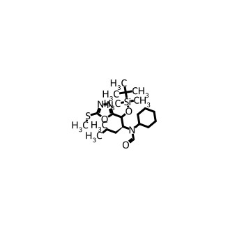 CSc1nnc(C(O[Si](C)(C)C(C)(C)C)[C@H](CC(C)C)N(C=O)C2CCCCC2)o1